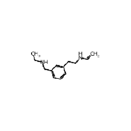 C=CNCCc1cccc(CNCC)c1